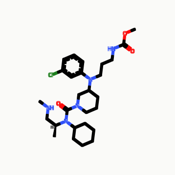 CNC[C@H](C)N(C(=O)N1CCCC(N(CCCNC(=O)OC)c2cccc(Cl)c2)C1)C1CCCCC1